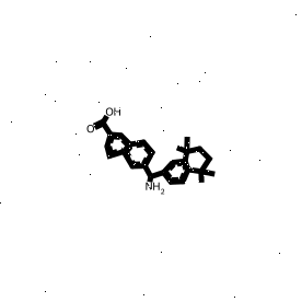 CC1(C)CCC(C)(C)c2cc(C(N)c3ccc4cc(C(=O)O)ccc4c3)ccc21